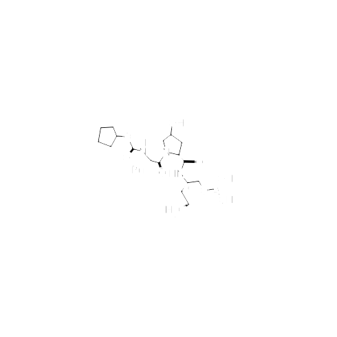 C=CC[C@H](COB(C)O)NC(=O)[C@@H]1CC(O)CN1C(=O)[C@@H](NC(=O)OC1CCCC1)C(C)(C)C